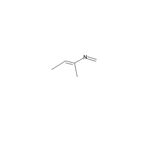 C=N/C(C)=C/C